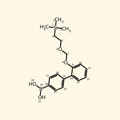 C[Si](C)(C)CCOCOc1ccccc1-c1ccc(B(O)O)cc1